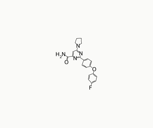 NC(=O)c1cc(N2CCCC2)nc(-c2ccc(Oc3ccc(F)cc3)cc2)n1